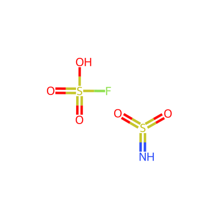 N=S(=O)=O.O=S(=O)(O)F